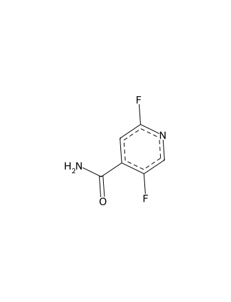 NC(=O)c1cc(F)ncc1F